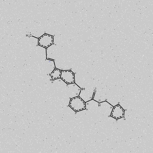 Cc1ccnc(/C=C/c2n[nH]c3cc(Nc4ccccc4C(=O)NCc4ccncc4)ccc23)c1